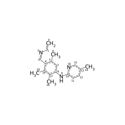 C=C/N=C\c1c(C)cc(Nc2ccc(C)cn2)c(C)c1C